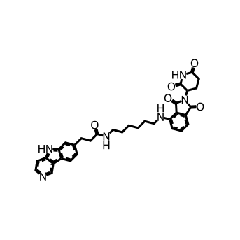 O=C(CCc1ccc2c(c1)[nH]c1ccncc12)NCCCCCCNc1cccc2c1C(=O)N(C1CCC(=O)NC1=O)C2=O